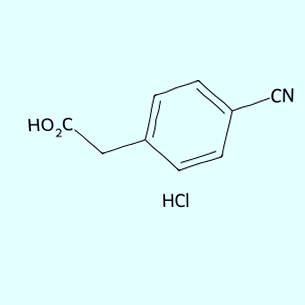 Cl.N#Cc1ccc(CC(=O)O)cc1